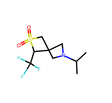 CC(C)N1CC2(C1)CS(=O)(=O)C2C(F)(F)F